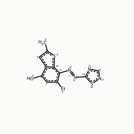 CCc1cc(O)c2cc(C)sc2c1/N=N/c1ncns1